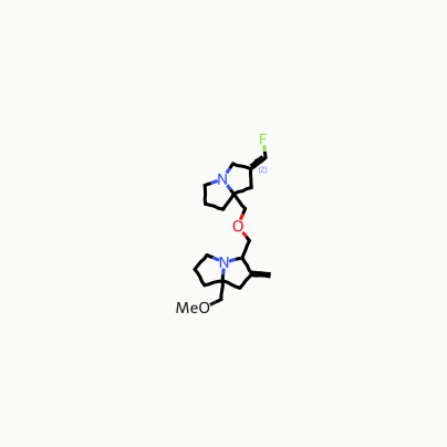 C=C1CC2(COC)CCCN2C1COCC12CCCN1C/C(=C\F)C2